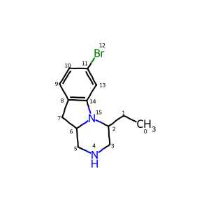 CCC1CNCC2Cc3ccc(Br)cc3N12